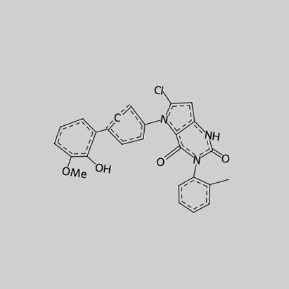 COc1cccc(-c2ccc(-n3c(Cl)cc4[nH]c(=O)n(-c5ccccc5C)c(=O)c43)cc2)c1O